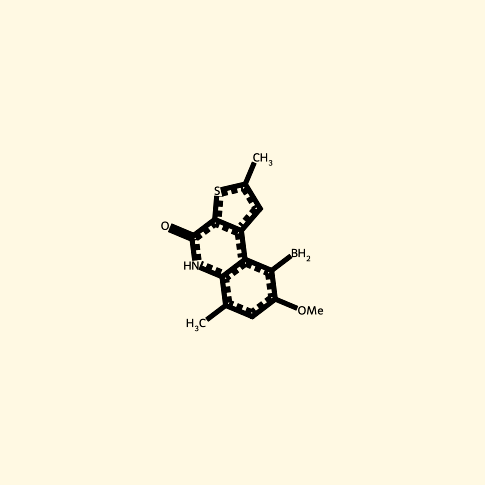 Bc1c(OC)cc(C)c2[nH]c(=O)c3sc(C)cc3c12